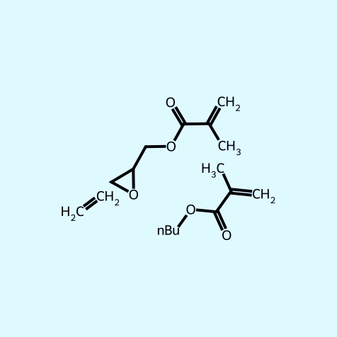 C=C.C=C(C)C(=O)OCC1CO1.C=C(C)C(=O)OCCCC